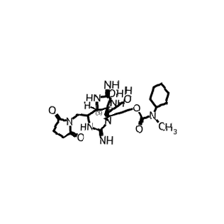 CN(C(=O)OC1CN2C(=N)NC(CN3C(=O)CCC3=O)[C@@H]3NC(=N)N[C@@]32C1(O)O)C1CCCCC1